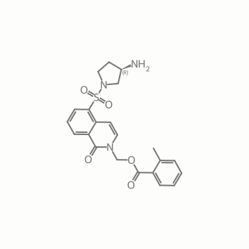 Cc1ccccc1C(=O)OCn1ccc2c(S(=O)(=O)N3CC[C@@H](N)C3)cccc2c1=O